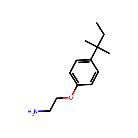 CCC(C)(C)c1ccc(OCCN)cc1